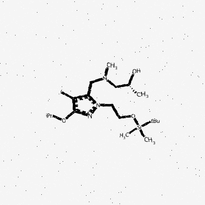 CC(C)Oc1nn(CCO[Si](C)(C)C(C)(C)C)c(CN(C)C[C@@H](C)O)c1I